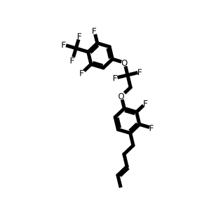 C/C=C/CCc1ccc(OCC(F)(F)Oc2cc(F)c(C(F)(F)F)c(F)c2)c(F)c1F